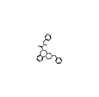 O=C(NCc1cccnc1)N1Cc2ccccc2N2CCN(Cc3ccccc3)CC2C1